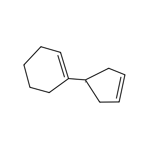 C1=CC[C](C2=CCCCC2)C1